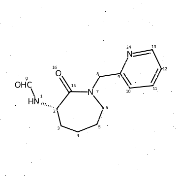 O=CN[C@H]1CCCCN(Cc2ccccn2)C1=O